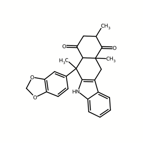 CC1CC(=O)C2C(C)(Cc3c([nH]c4ccccc34)C2(C)c2ccc3c(c2)OCO3)C1=O